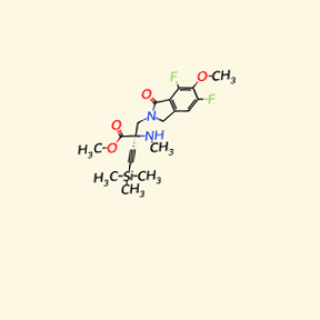 CN[C@](C#C[Si](C)(C)C)(CN1Cc2cc(F)c(OC)c(F)c2C1=O)C(=O)OC